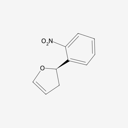 O=[N+]([O-])c1ccccc1[C@H]1CC=CO1